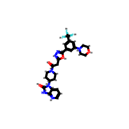 O=C(Cc1nnc(-c2cc(N3CCOCC3)cc(C(F)(F)F)c2)o1)N1CCC(n2c(=O)[nH]c3ncccc32)CC1